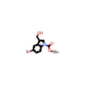 CC(C)(C)OC(=O)n1cc(CO)c2cc(Br)ccc21